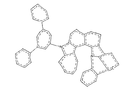 c1ccc(-c2cc(-c3ccccc3)cc(-n3c4ccccc4c4c5c(ccc6c7cccc8c9ccccc9n(c87)c65)ccc43)c2)cc1